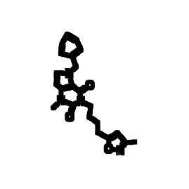 Cc1cc(CCCCn2c(=O)c3c(ccn3Cc3ccccc3)n(C)c2=O)on1